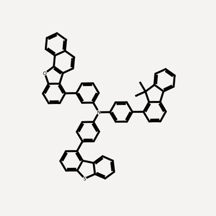 CC1(C)c2ccccc2-c2cccc(-c3ccc(N(c4ccc(-c5cccc6sc7ccccc7c56)cc4)c4cccc(-c5cccc6oc7c8ccccc8ccc7c56)c4)cc3)c21